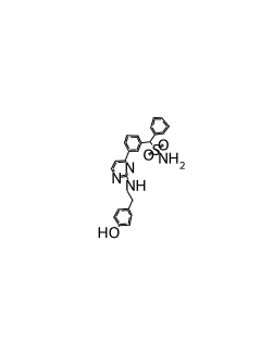 NS(=O)(=O)C(c1ccccc1)c1cccc(-c2ccnc(NCCc3ccc(O)cc3)n2)c1